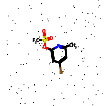 Cc1cc(Br)cc(OS(=O)(=O)C(F)(F)F)n1